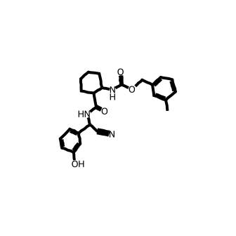 Cc1cccc(COC(=O)NC2CCCCC2C(=O)NC(C#N)c2cccc(O)c2)c1